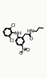 CCCNC(=O)Cc1cc([N+](=O)[O-])ccc1Nc1c(Cl)cccc1Cl